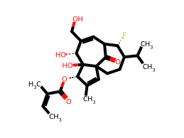 C/C=C(/C)C(=O)O[C@H]1C(C)=CC23CCC(C(C)C)[C@@H](F)C(C=C(CO)[C@@H](O)C12O)C3=O